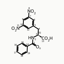 O=C(N[C@@H](Cc1cc([N+](=O)[O-])cc([N+](=O)[O-])c1)C(=O)O)c1ccccc1